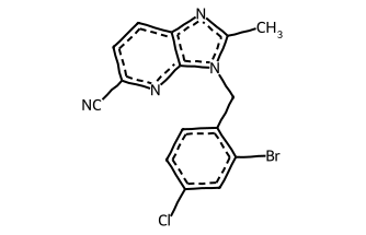 Cc1nc2ccc(C#N)nc2n1Cc1ccc(Cl)cc1Br